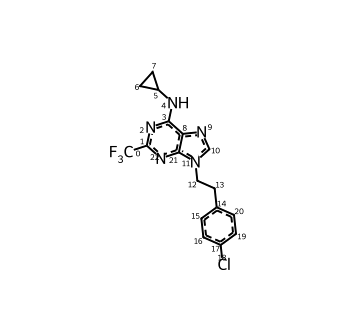 FC(F)(F)c1nc(NC2CC2)c2ncn(CCc3ccc(Cl)cc3)c2n1